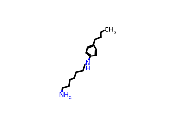 CCCCc1ccc(NCCCCCCCN)cc1